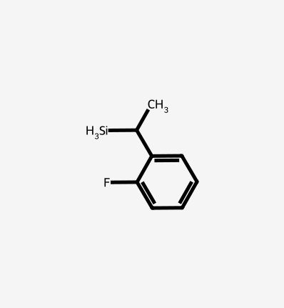 CC([SiH3])c1ccccc1F